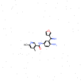 Cc1cc(C#N)ncc1C(=O)Nc1ccc(N)c(C(=N)c2ccoc2)c1